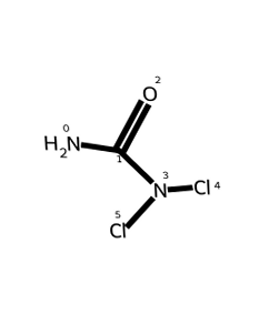 NC(=O)N(Cl)Cl